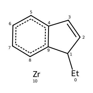 [CH2]CC1C=Cc2ccccc21.[Zr]